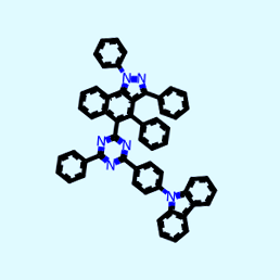 c1ccc(-c2nc(-c3ccc(-n4c5ccccc5c5ccccc54)cc3)nc(-c3c(-c4ccccc4)c4c(-c5ccccc5)nn(-c5ccccc5)c4c4ccccc34)n2)cc1